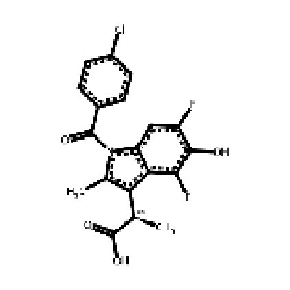 Cc1c([C@@H](C)C(=O)O)c2c(F)c(O)c(F)cc2n1C(=O)c1ccc(Cl)cc1